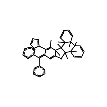 CC1=C(C2=CC=CC2)C(=C(c2ccccc2)c2ccccc2)C=C2[C]C3(C)C4(C)C=CC=CC4(C)C4(C)C=CC=CC4(C)C3(C)C21C